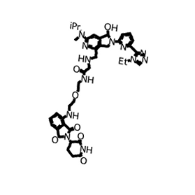 CCn1cnnc1-c1cccc(N2Cc3c(cc(N(C)C(C)C)nc3CNCC(=O)NCCOCCNc3cccc4c3C(=O)N(C3CCC(=O)NC3=O)C4=O)C2O)n1